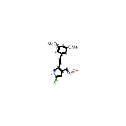 COc1cc(C#Cc2cnc(Cl)cc2C=NO)cc(OC)c1